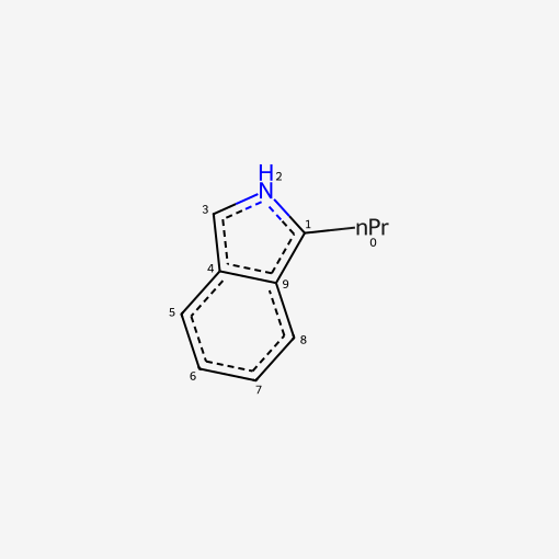 [CH2]CCc1[nH]cc2ccccc12